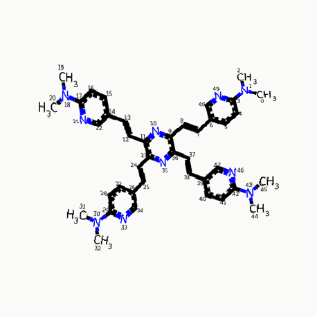 CN(C)c1ccc(C=Cc2nc(C=Cc3ccc(N(C)C)nc3)c(C=Cc3ccc(N(C)C)nc3)nc2C=Cc2ccc(N(C)C)nc2)cn1